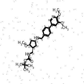 COc1cc(-c2ccc(CN[C@@H]3C[C@@H](CNC(=O)OC(C)(C)C)[C@@H](OC)C3)cc2)cnc1OC